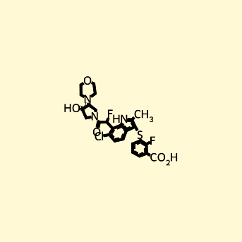 Cc1[nH]c2c(C(F)C(=O)N3C[C@H](O)[C@@H](N4CCOCC4)C3)c(Cl)ccc2c1Sc1cccc(C(=O)O)c1F